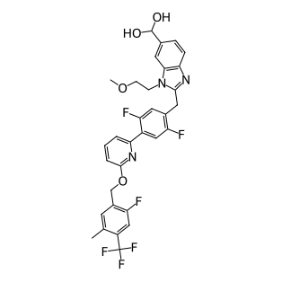 COCCn1c(Cc2cc(F)c(-c3cccc(OCc4cc(C)c(C(F)(F)F)cc4F)n3)cc2F)nc2ccc(C(O)O)cc21